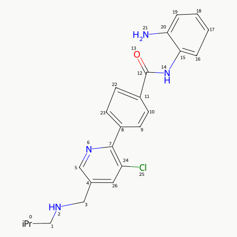 CC(C)CNCc1cnc(-c2ccc(C(=O)Nc3ccccc3N)cc2)c(Cl)c1